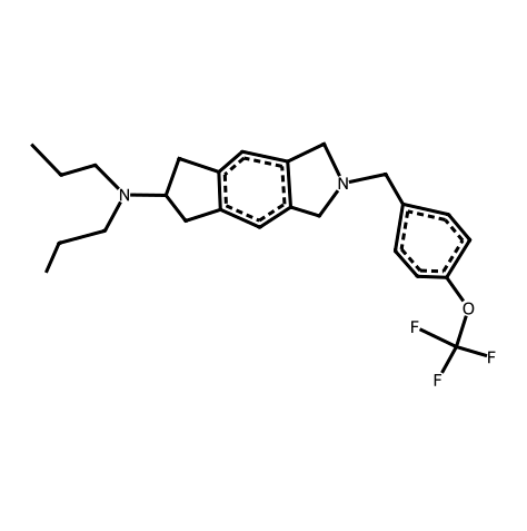 CCCN(CCC)C1Cc2cc3c(cc2C1)CN(Cc1ccc(OC(F)(F)F)cc1)C3